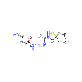 N=C/C=C\C(=O)Nc1ccc(NCC2(S)CCCCC2)nc1